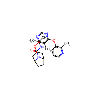 Cc1ncccc1Oc1ncnc(OC2CC3CCC(C2)N3C(=O)NC(C)C)c1C